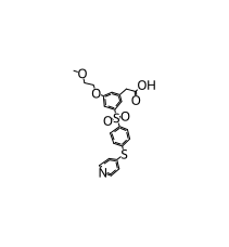 COCCOc1cc(CC(=O)O)cc(S(=O)(=O)c2ccc(Sc3ccncc3)cc2)c1